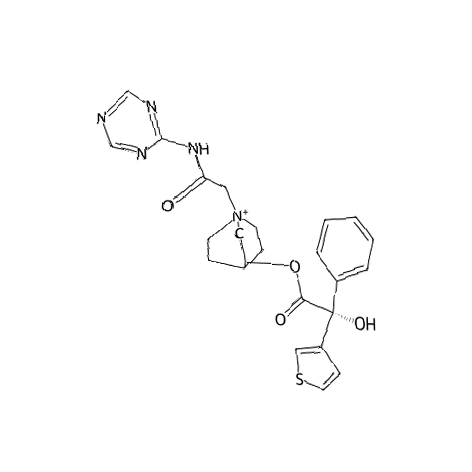 O=C(C[N+]12CCC(CC1)C(OC(=O)[C@@](O)(c1ccccc1)c1ccsc1)C2)Nc1ncncn1